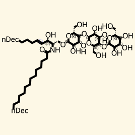 CCCCCCCCCCCCC/C=C/[C@@H](O)[C@H](CO[C@@H]1O[C@H](CO)[C@@H](O[C@@H]2O[C@H](CO)[C@H](O[C@H]3O[C@H](CO)[C@H](O)[C@H](O)[C@H]3O)[C@H](O)[C@H]2O)[C@H](O)[C@H]1O)NC(=O)CCCCCCCCCCCCCCCCCCCCCC